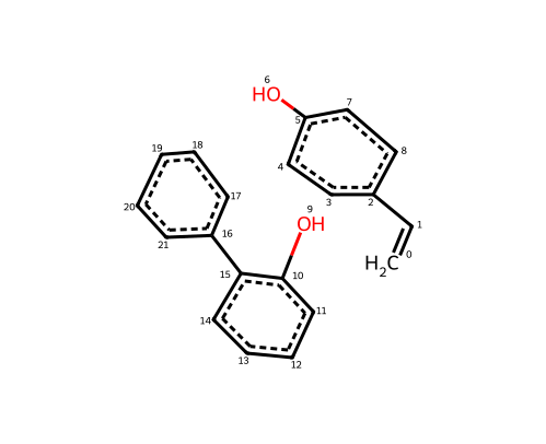 C=Cc1ccc(O)cc1.Oc1ccccc1-c1ccccc1